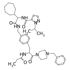 CCC(=O)NC(Cc1ccc(CNC(=O)C(NC(=O)c2ccnn2C(C)C)C2CCCCCC2)cc1)C(=O)N1CCN(Cc2ccccc2)CC1